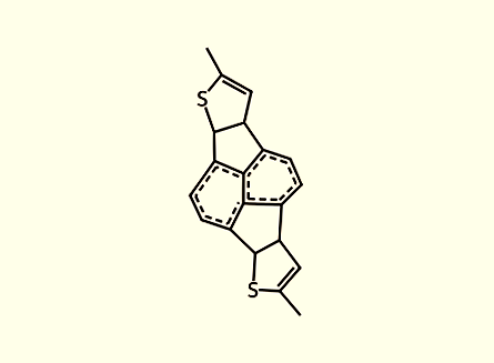 CC1=CC2c3ccc4c5c(ccc(c35)C2S1)C1SC(C)=CC41